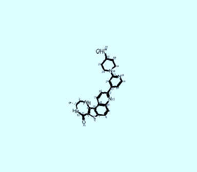 C[C@@H]1CNc2c(sc3ccc4nc(-c5ccnc(N6CCC(C=O)CC6)c5)ccc4c23)C(=O)N1